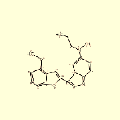 CCCN(C)c1ccc2ncc(-c3cc4c(OC)cccc4o3)n2n1